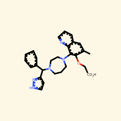 Cc1cc2cccnc2c(N2CCCN(C(c3ccccc3)c3cc[nH]n3)CC2)c1OCC(=O)O